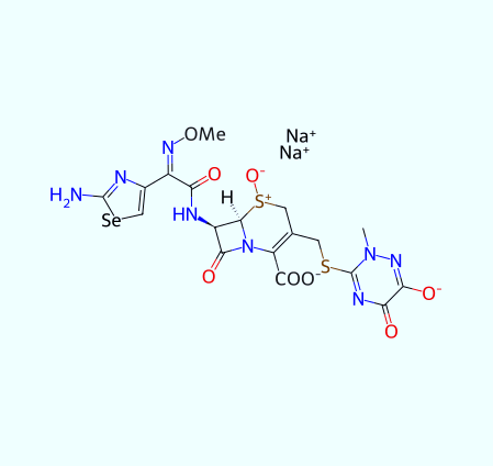 CO/N=C(\C(=O)N[C@@H]1C(=O)N2C(C(=O)[O-])=C(CSc3nc(=O)c([O-])nn3C)C[S+]([O-])[C@H]12)c1c[se]c(N)n1.[Na+].[Na+]